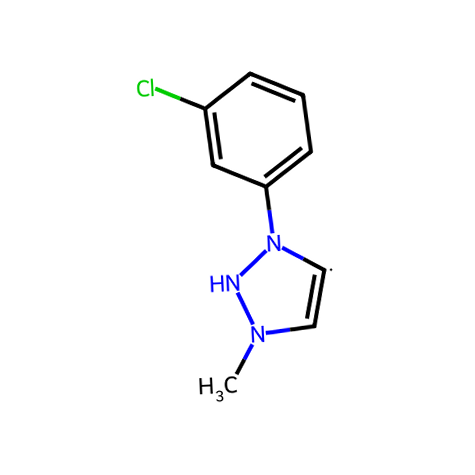 CN1C=[C]N(c2cccc(Cl)c2)N1